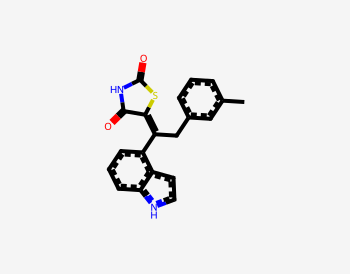 Cc1cccc(CC(=C2SC(=O)NC2=O)c2cccc3[nH]ccc23)c1